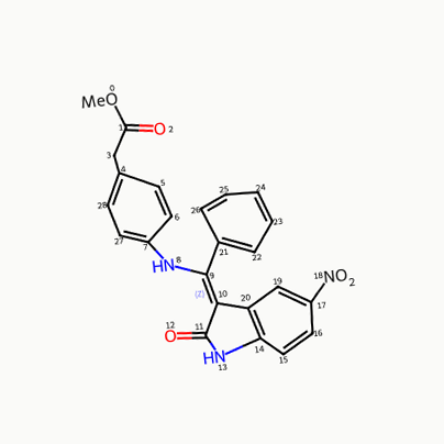 COC(=O)Cc1ccc(N/C(=C2\C(=O)Nc3ccc([N+](=O)[O-])cc32)c2ccccc2)cc1